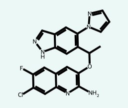 CC(Oc1cc2cc(F)c(Cl)cc2nc1N)c1cc2[nH]ncc2cc1-n1cccn1